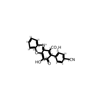 N#Cc1ccc(-c2c(C(=O)O)c3nc4ccccc4oc-3c(O)c2=O)cc1